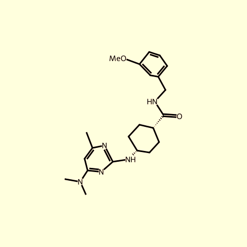 COc1cccc(CNC(=O)[C@H]2CC[C@@H](Nc3nc(C)cc(N(C)C)n3)CC2)c1